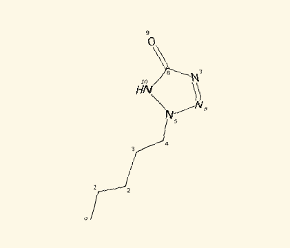 CCCCCn1nnc(=O)[nH]1